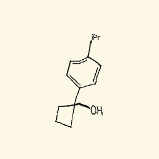 CC(C)c1ccc(C2(O)CCC2)cc1